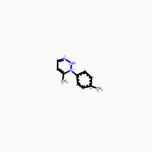 CC1=CC=NNN1c1ccc(C)cc1